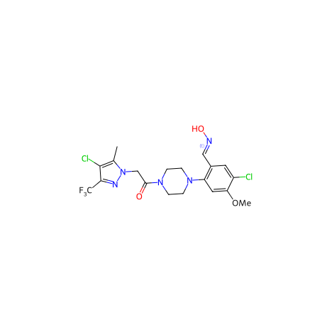 COc1cc(N2CCN(C(=O)Cn3nc(C(F)(F)F)c(Cl)c3C)CC2)c(/C=N/O)cc1Cl